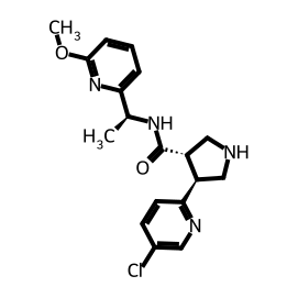 COc1cccc([C@H](C)NC(=O)[C@@H]2CNC[C@H]2c2ccc(Cl)cn2)n1